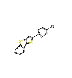 CCc1ccc(-c2cc3sc4ccccc4c3s2)cc1